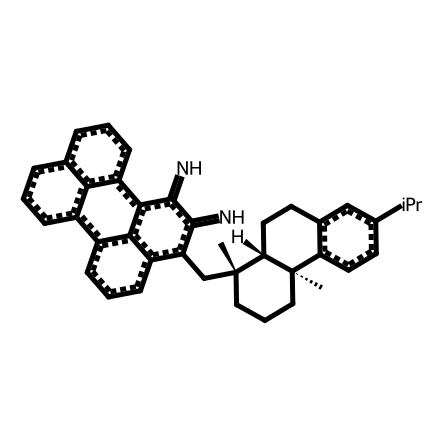 CC(C)c1ccc2c(c1)CC[C@H]1[C@@](C)(Cc3c(=N)c(=N)c4c5cccc6cccc(c7cccc3c74)c65)CCC[C@]21C